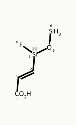 O=C(O)C=C[SiH](F)O[SiH3]